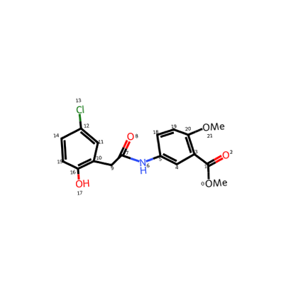 COC(=O)c1cc(NC(=O)Cc2cc(Cl)ccc2O)ccc1OC